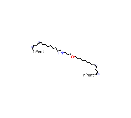 CCCCC/C=C\C/C=C\CCCCCCCCNCCCOCCCCCCCC/C=C\C/C=C\CCCCC